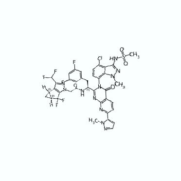 Cn1nccc1-c1ccc2c(=O)n(-c3ccc(Cl)c4c(NS(C)(=O)=O)nn(C)c34)c([C@H](Cc3cc(F)cc(F)c3)NC(=O)Cn3nc(C(F)F)c4c3C(F)(F)[C@@H]3C[C@H]43)nc2n1